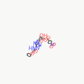 O=C(COc1ccccc1)Nc1ncnc2c1ncn2[C@H]1C[C@H](O)[C@@H](COC(=O)c2ccc([N+](=O)[O-])cc2)O1